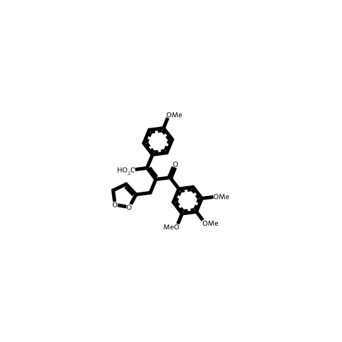 COc1ccc(C(C(=O)O)=C(CC2=CCOO2)C(=O)c2cc(OC)c(OC)c(OC)c2)cc1